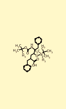 CC(C)(C)OC(=O)NC(Cc1ccccc1)C(CC(Cc1ccccc1)C(=O)O)O[Si](C)(C)C(C)(C)C